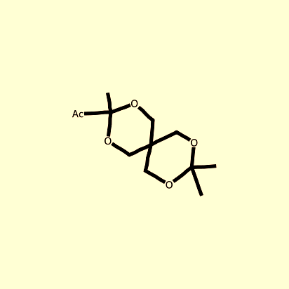 CC(=O)C1(C)OCC2(COC(C)(C)OC2)CO1